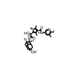 Cc1cc(NC(=O)c2c(C)c(C(O)C(=O)N[C@@H]3C4CC5C[C@H]3C[C@@](O)(C5)C4)n(C)c2C)cnc1F